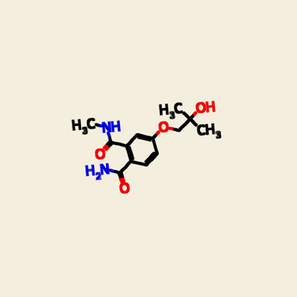 CNC(=O)c1cc(OCC(C)(C)O)ccc1C(N)=O